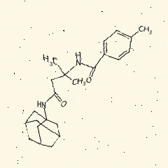 Cc1ccc(C(=O)NC(C)(C)CC(=O)NC23CC4CC(CC(C4)C2)C3)cc1